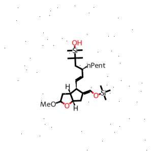 CCCCC[C@@H](/C=C/[C@H]1C(=CO[Si](C)(C)C)C[C@@H]2OC(OC)C[C@@H]21)CC(C)(C)[Si](C)(C)O